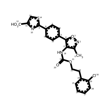 Cc1noc(-c2ccc(-c3nc(C(=O)O)cs3)cc2)c1NC(=O)OCCc1ccccc1Cl